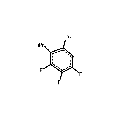 CC(C)c1cc(F)c(F)c(F)c1C(C)C